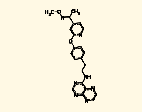 CON=C(C)c1ccnc(Oc2ccc(CCNc3ncnc4nccnc34)cc2)c1